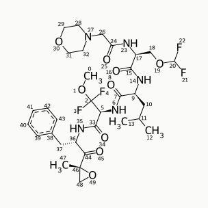 COC(F)(F)[C@@H](NC(=O)[C@H](CC(C)C)NC(=O)[C@H](COC(F)F)NC(=O)CN1CCOCC1)C(=O)N[C@@H](Cc1ccccc1)C(=O)[C@@]1(C)CO1